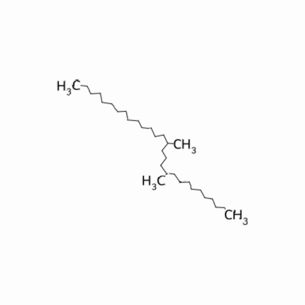 CCCCCCCCCCCCCCC(C)CCCC(C)CCCCCCCCCC